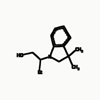 CCC(CO)N1CC(C)(C)c2ccccc21